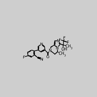 C[C@H]1CN(C(=O)c2cncc(-c3ccc(F)cc3C#N)c2)Cc2cnc([C@@](C)(O)C(F)(F)F)n21